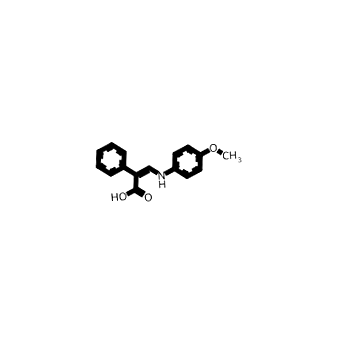 COc1ccc(NC=C(C(=O)O)c2ccccc2)cc1